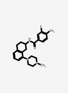 Cc1ccc(C(=O)NC2CCc3cccc(N4CCN(C)CC4)c3C2)cc1F